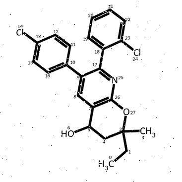 CCC1(C)CC(O)c2cc(-c3ccc(Cl)cc3)c(-c3ccccc3Cl)nc2O1